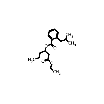 CCCC(CC(=O)OCC)OC(=O)c1ccccc1CC(C)C